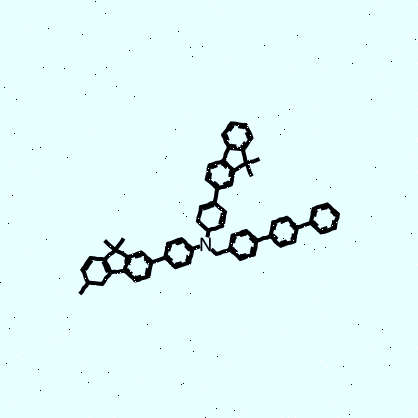 CC1C=CC2=C(C1)c1ccc(-c3ccc(N(Cc4ccc(-c5ccc(-c6ccccc6)cc5)cc4)C4C=CC(c5ccc6c(c5)C(C)(C)c5ccccc5-6)=CC4)cc3)cc1C2(C)C